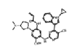 C=CC(=O)Nc1cc(Nc2ncc(C#N)c(-c3cn(C4CC4)c4ccccc34)n2)c(OC)cc1N1CC[C@@H](N(C)C)C1